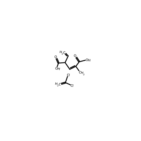 C=C(Cl)Cl.C=CC(C=C(C)C(=O)O)C(=O)O